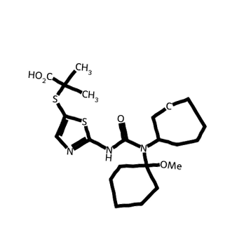 COC1(N(C(=O)Nc2ncc(SC(C)(C)C(=O)O)s2)C2CCCCCC2)CCCCC1